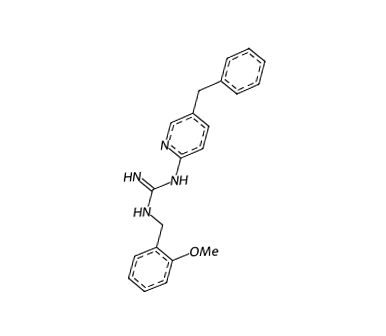 COc1ccccc1CNC(=N)Nc1ccc(Cc2ccccc2)cn1